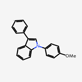 COc1ccc(-n2cc(-c3cc[c]cc3)c3ccccc32)cc1